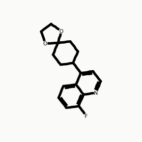 Fc1cccc2c(C3CCC4(CC3)OCCO4)ccnc12